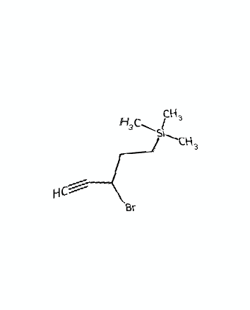 C#CC(Br)CC[Si](C)(C)C